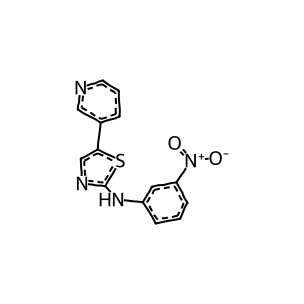 O=[N+]([O-])c1cccc(Nc2ncc(-c3cccnc3)s2)c1